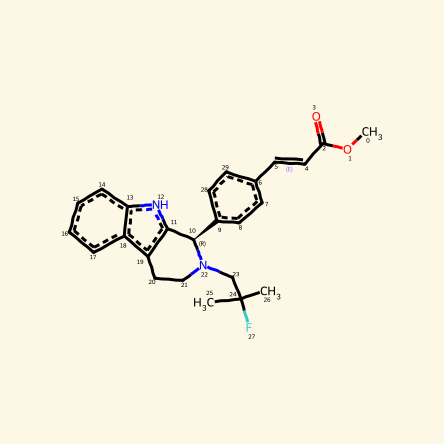 COC(=O)/C=C/c1ccc([C@@H]2c3[nH]c4ccccc4c3CCN2CC(C)(C)F)cc1